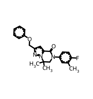 Cc1cc(N2CC(C)(C)n3nc(COc4ccccc4)cc3C2=O)ccc1F